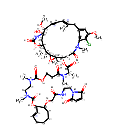 COc1cc2cc(c1Cl)N(C)C(=O)C[C@H](OC(=O)[C@H](C)N(C)C(=O)CCOC(=O)N(C)CCN(C)C(=O)OC1/C=C/CCCCC1OCC(=O)NCCN1C(=O)C=CC1=O)[C@]1(C)O[C@H]1[C@H](C)[C@@H]1C[C@@](O)(NC(=O)O1)[C@H](OC)/C=C/C=C(\C)C2